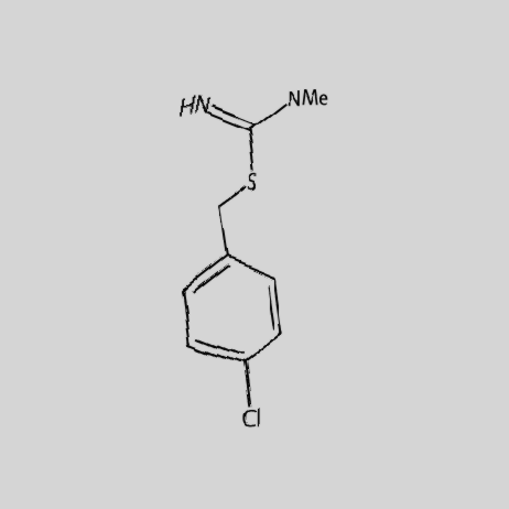 CNC(=N)SCc1ccc(Cl)cc1